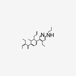 C=CCC1C(c2cnc(NCCC)cc2CC)=CC=C(C(=C)/C(=C\C)CC)C1C